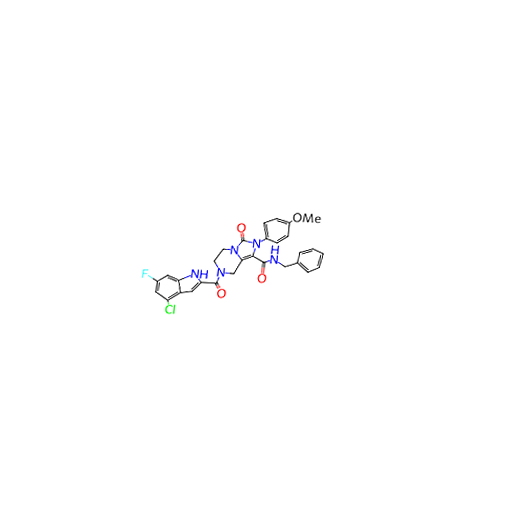 COc1ccc(-n2c(C(=O)NCc3ccccc3)c3n(c2=O)CCN(C(=O)c2cc4c(Cl)cc(F)cc4[nH]2)C3)cc1